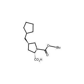 CC(C)(C)OC(=O)N1C[C@H](CC2CCCC2)C[C@H]1C(=O)O